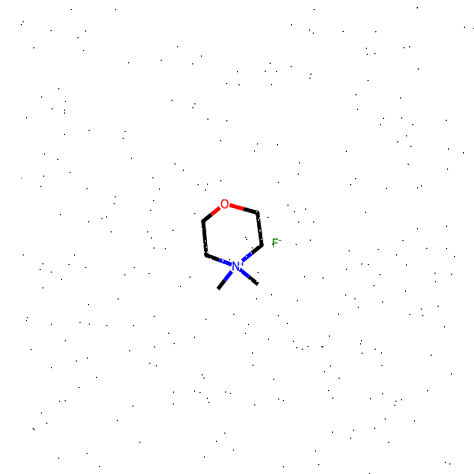 C[N+]1(C)CCOCC1.[F-]